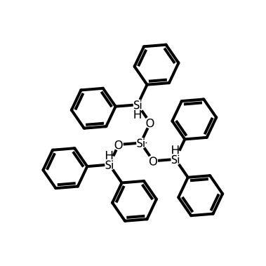 c1ccc([SiH](O[Si](O[SiH](c2ccccc2)c2ccccc2)O[SiH](c2ccccc2)c2ccccc2)c2ccccc2)cc1